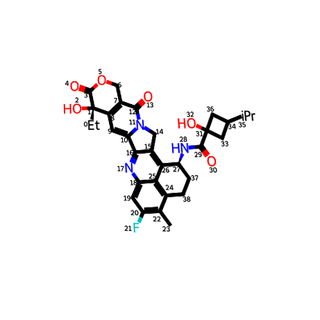 CC[C@@]1(O)C(=O)OCc2c1cc1n(c2=O)Cc2c-1nc1cc(F)c(C)c3c1c2[C@@H](NC(=O)C1(O)CC(C(C)C)C1)CC3